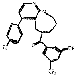 O=C(c1cc(C(F)(F)F)cc(C(F)(F)F)c1)N1CCCOc2nccc(-c3ccc(Cl)cc3)c2C1